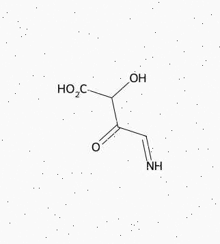 N=CC(=O)C(O)C(=O)O